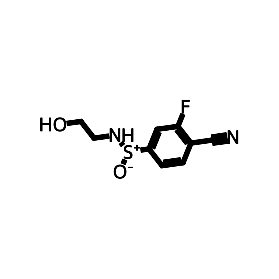 N#Cc1ccc([S+]([O-])NCCO)cc1F